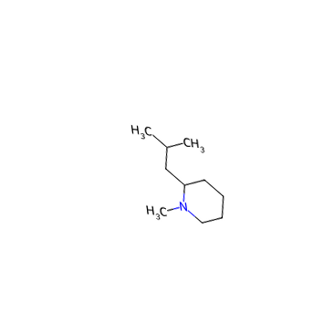 CC(C)CC1CCCCN1C